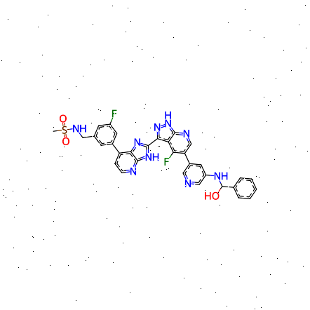 CS(=O)(=O)NCc1cc(F)cc(-c2ccnc3[nH]c(-c4n[nH]c5ncc(-c6cncc(NC(O)c7ccccc7)c6)c(F)c45)nc23)c1